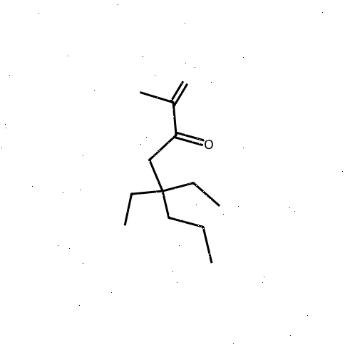 C=C(C)C(=O)CC(CC)(CC)CCC